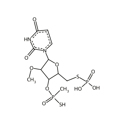 COC1C(OP(C)(=O)S)C(CSP(=O)(O)O)OC1n1ccc(=O)[nH]c1=O